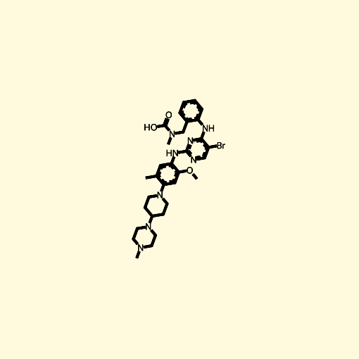 COc1cc(N2CCC(N3CCN(C)CC3)CC2)c(C)cc1Nc1ncc(Br)c(Nc2ccccc2CN(C)C(=O)O)n1